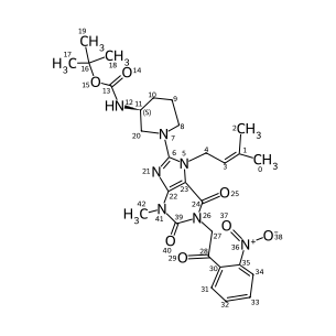 CC(C)=CCn1c(N2CCC[C@H](NC(=O)OC(C)(C)C)C2)nc2c1c(=O)n(CC(=O)c1ccccc1[N+](=O)[O-])c(=O)n2C